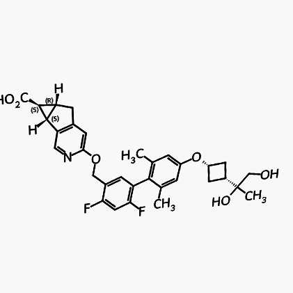 Cc1cc(O[C@H]2C[C@@H](C(C)(O)CO)C2)cc(C)c1-c1cc(COc2cc3c(cn2)[C@H]2[C@@H](C3)[C@@H]2C(=O)O)c(F)cc1F